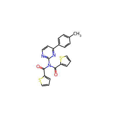 Cc1ccc(-c2ccnc(N(C(=O)c3cccs3)C(=O)c3cccs3)n2)cc1